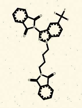 O=C1c2ccccc2C(=O)N1CCCCn1nc(N2C(=O)c3ccccc3C2=O)c2cc(C(F)(F)F)ccc21